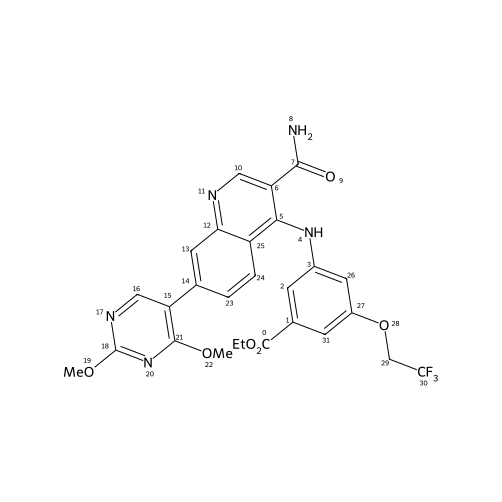 CCOC(=O)c1cc(Nc2c(C(N)=O)cnc3cc(-c4cnc(OC)nc4OC)ccc23)cc(OCC(F)(F)F)c1